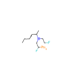 CCCCC(C)N(CCF)CC(F)P